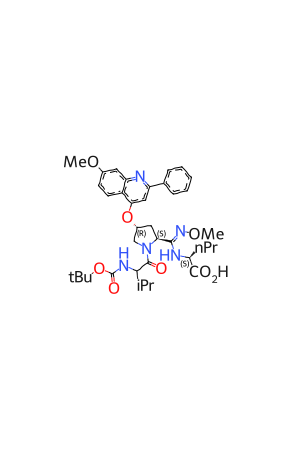 CCC[C@H](NC(=NOC)[C@@H]1C[C@@H](Oc2cc(-c3ccccc3)nc3cc(OC)ccc23)CN1C(=O)C(NC(=O)OC(C)(C)C)C(C)C)C(=O)O